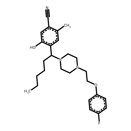 CCCCCC(c1cc(C)c(C#N)cc1O)N1CCN(CCOc2ccc(F)cc2)CC1